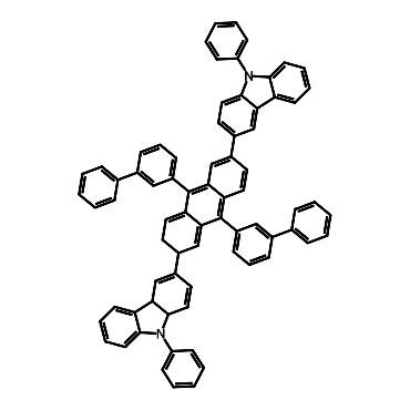 C1=CC2C(C=C1C1C=c3c(-c4cccc(-c5ccccc5)c4)c4ccc(-c5ccc6c(c5)c5ccccc5n6-c5ccccc5)cc4c(-c4cccc(-c5ccccc5)c4)c3=CC1)c1ccccc1N2c1ccccc1